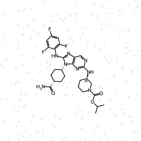 CC(C)OC(=O)N1CCC[C@@H](Nc2ncc3nc(Nc4c(F)cc(F)cc4F)n([C@H]4CC[C@@H](C(N)=O)CC4)c3n2)C1